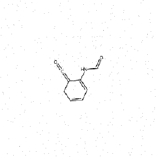 O=[C]NC1=CC=CCC1=C=O